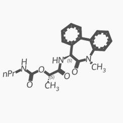 CCCNC(=O)O[C@@H](C)C(=O)N[C@@H]1C(=O)N(C)c2ccccc2-c2ccccc21